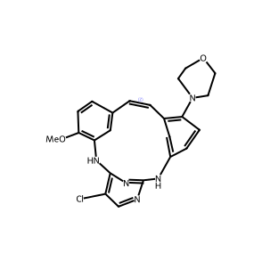 COc1ccc2cc1Nc1nc(ncc1Cl)Nc1ccc(N3CCOCC3)c(c1)/C=C\2